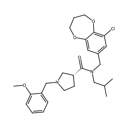 COc1ccccc1CN1CC[C@@H](C(=O)N(Cc2cc(Cl)c3c(c2)OCCCO3)CC(C)C)C1